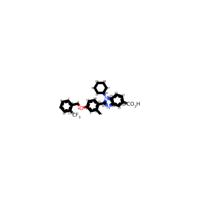 Cc1cc(OCc2ccccc2C(F)(F)F)ccc1-c1nc2cc(C(=O)O)ccc2n1C1CCCCC1